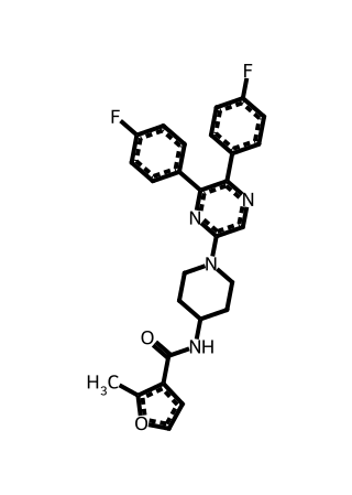 Cc1occc1C(=O)NC1CCN(c2cnc(-c3ccc(F)cc3)c(-c3ccc(F)cc3)n2)CC1